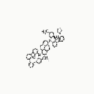 Cc1ccc(C)c(N(c2ccc3ccc4c(N(c5cc(C)ccc5C)c5cccc6c5oc5c(C7CCCC7)cccc56)ccc5ccc2c3c54)c2cccc3c2oc2c(C4CCCC4)cccc23)c1